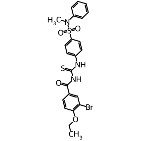 CCOc1ccc(C(=O)NC(=S)Nc2ccc(S(=O)(=O)N(C)c3ccccc3)cc2)cc1Br